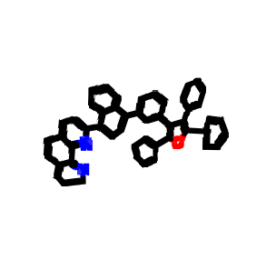 c1ccc(-c2oc(-c3ccccc3)c(-c3cccc(-c4ccc(-c5ccc6ccc7cccnc7c6n5)c5ccccc45)c3)c2-c2ccccc2)cc1